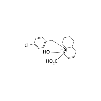 O=C(O)C1=C2C=CCC3CCCCC23NC(Cc2ccc(Cl)cc2)=C1O